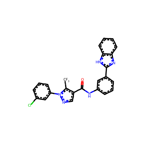 O=C(Nc1cccc(-c2nc3ccccc3[nH]2)c1)c1cnn(-c2cccc(Cl)c2)c1C(F)(F)F